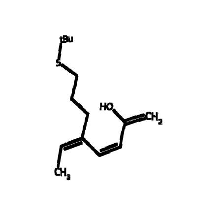 C=C(O)/C=C\C(=C/C)CCCSC(C)(C)C